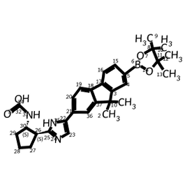 CC1(C)c2cc(B3OC(C)(C)C(C)(C)O3)ccc2-c2ccc(-c3cnc([C@H]4CCC[C@@H]4NC(=O)O)[nH]3)cc21